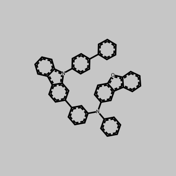 c1ccc(-c2ccc(-n3c4ccccc4c4ccc(-c5cccc(N(c6ccccc6)c6ccc7oc8ccccc8c7c6)c5)cc43)cc2)cc1